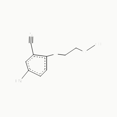 COCCOc1ccc(N)cc1C#N